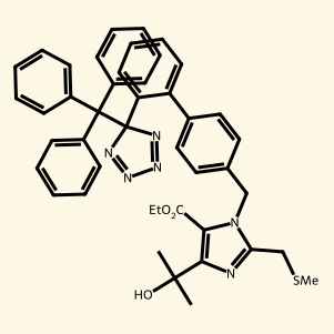 CCOC(=O)c1c(C(C)(C)O)nc(CSC)n1Cc1ccc(-c2ccccc2C2(C(c3ccccc3)(c3ccccc3)c3ccccc3)N=NN=N2)cc1